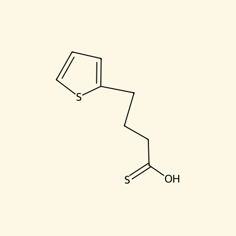 OC(=S)CCCc1cccs1